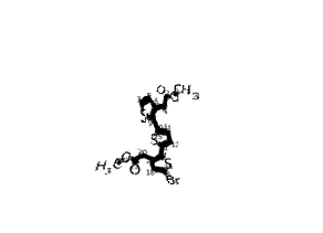 COC(=O)Cc1ccsc1-c1ccc(-c2sc(Br)cc2CC(=O)OC)s1